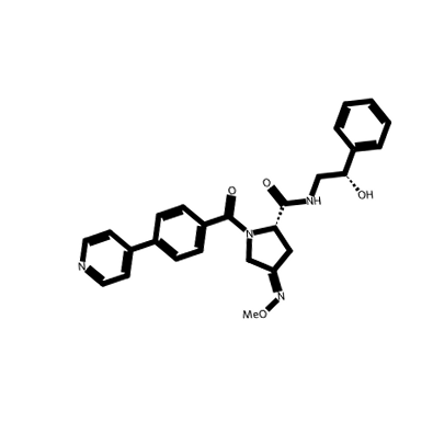 CON=C1C[C@@H](C(=O)NC[C@@H](O)c2ccccc2)N(C(=O)c2ccc(-c3ccncc3)cc2)C1